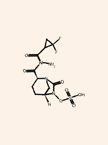 NN(C(=O)C1CC1(F)F)C(=O)[C@@H]1CC[C@@H]2CN1C(=O)N2OS(=O)(=O)O